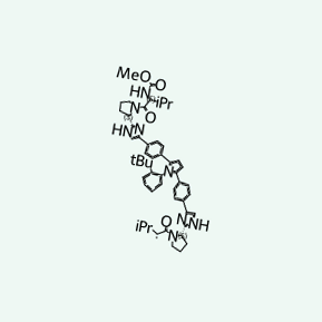 COC(=O)N[C@H](C(=O)N1CCC[C@H]1c1nc(-c2ccc(-c3ccc(-c4ccc(-c5c[nH]c([C@@H]6CCCN6C(=O)[CH]C(C)C)n5)cc4)n3-c3ccccc3C(C)(C)C)cc2)c[nH]1)C(C)C